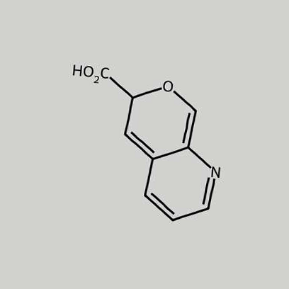 O=C(O)C1C=c2cccnc2=CO1